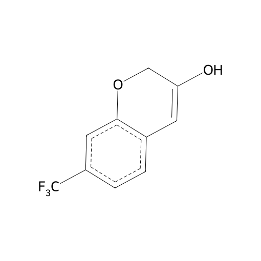 OC1=Cc2ccc(C(F)(F)F)cc2OC1